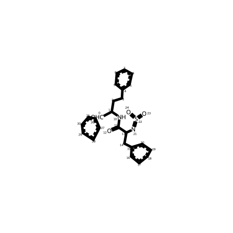 O=CC(CCc1ccccc1)NC(=O)C(Cc1ccccc1)N=S(=O)=O.c1ccccc1